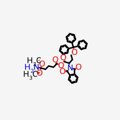 COC(N)(CCCC(=O)OC(=O)C(CCOC(c1ccccc1)(c1ccccc1)c1ccccc1)N1C(=O)c2ccccc2C1=O)OC